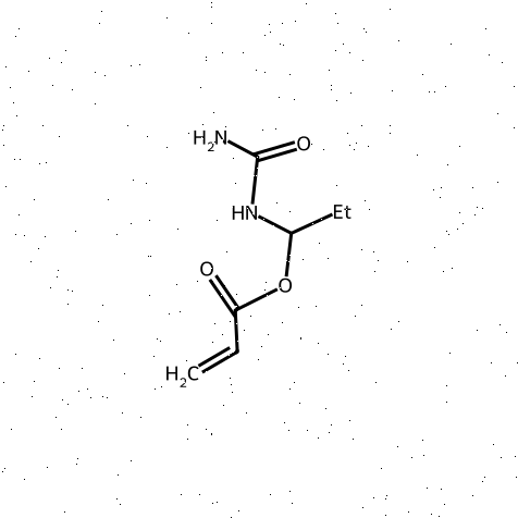 C=CC(=O)OC(CC)NC(N)=O